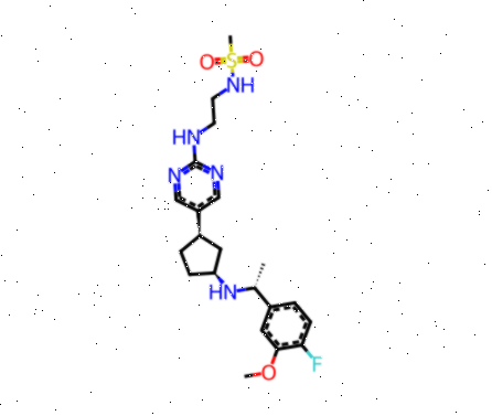 COc1cc([C@@H](C)N[C@H]2CC[C@@H](c3cnc(NCCNS(C)(=O)=O)nc3)C2)ccc1F